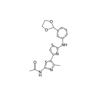 CC(=O)Nc1nc(C)c(-c2csc(Nc3cccc(C4OCCO4)c3)n2)s1